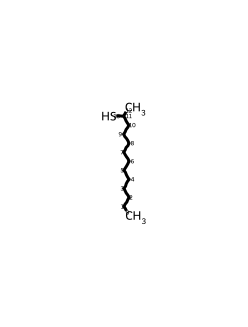 CCCCCCCCCCCC(C)S